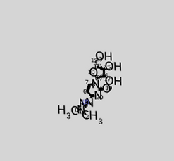 CN(C)/N=N/c1ccn([C@@H]2O[C@H](CO)C(O)C2O)c(=O)n1